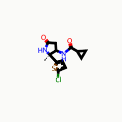 C[C@]1(c2ccc(Cl)s2)NC(=O)CC1NC(=O)C1CC1